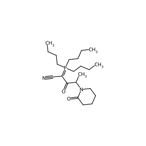 CCCCP(CCCC)(CCCC)=C(C#N)C(=O)C(C)N1CCCCC1=O